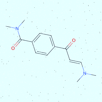 CN(C)C=CC(=O)c1ccc(C(=O)N(C)C)cc1